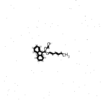 CCC=CC=COC(O[C]=O)C1c2ccccc2-c2ccccc21